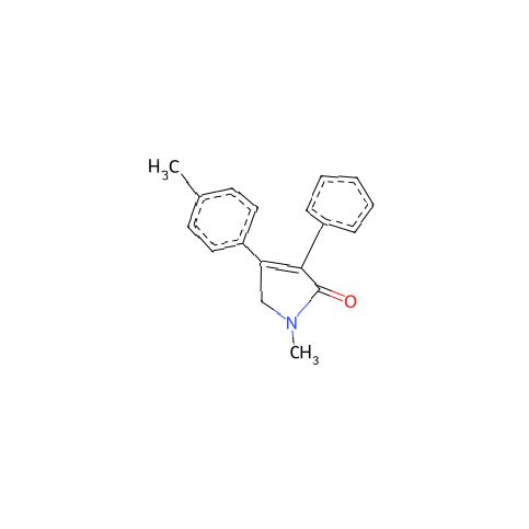 Cc1ccc(C2=C(c3ccccc3)C(=O)N(C)C2)cc1